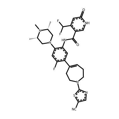 C[C@@H]1CN(c2cc(F)c(C3=CCCN(c4ncc(C#N)s4)CC3)cc2NC(=O)c2c[nH]c(=O)cc2C(F)F)C[C@H](C)N1C